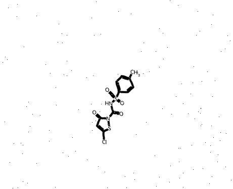 Cc1ccc(S(=O)(=O)NC(=O)n2sc(Cl)cc2=O)cc1